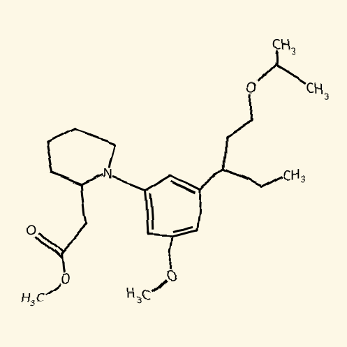 CCC(CCOC(C)C)c1cc(OC)cc(N2CCCCC2CC(=O)OC)c1